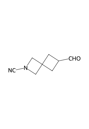 N#CN1CC2(CC(C=O)C2)C1